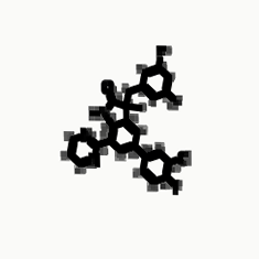 CC1(Cc2cc(F)cc(F)c2)C(=O)Nc2c(-c3ncccn3)cc(-c3ccc(F)c(Cl)c3)cc21